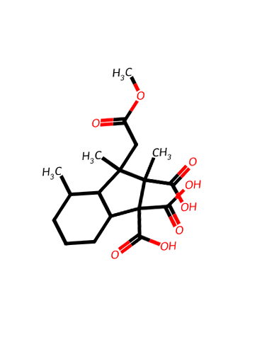 COC(=O)CC1(C)C2C(C)CCCC2C(C(=O)O)(C(=O)O)C1(C)C(=O)O